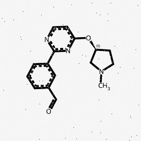 CN1CC[C@H](Oc2ccnc(-c3cccc(C=O)c3)n2)C1